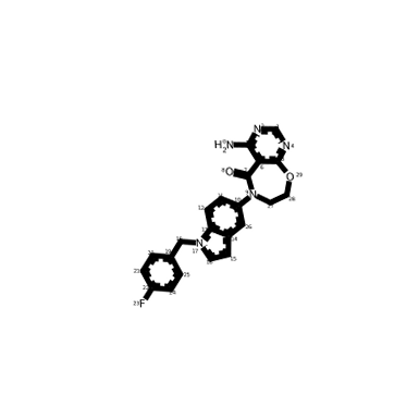 Nc1ncnc2c1C(=O)N(c1ccc3c(ccn3Cc3ccc(F)cc3)c1)CCO2